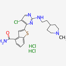 CN1CCC(CCNc2ncc(Cl)c(-c3cc4c(C(N)=O)cccc4s3)n2)CC1.Cl.Cl